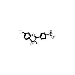 C[C@H](c1ccc(Cl)cc1)N(C)C(=O)c1ccc([N+](=O)[O-])cc1